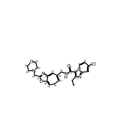 CCc1nc2cc(Cl)ccn2c1C(=O)NCC1=CCC=c2oc(CN3CCOCC3)nc2=C1